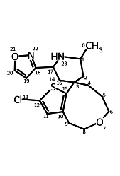 CC1CC2(CCCOCCc3cc(Cl)sc32)CC(c2ccon2)N1